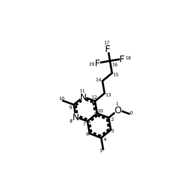 COc1cc(C)cc2nc(C)nc(CCCC(F)(F)F)c12